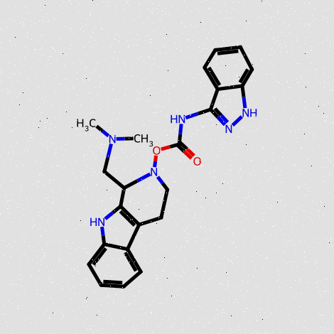 CN(C)CC1c2[nH]c3ccccc3c2CCN1OC(=O)Nc1n[nH]c2ccccc12